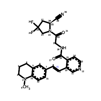 CN1CCCc2cc(/C=C/c3cnccc3C(=O)NCC(=O)N3CC(F)(F)C[C@H]3C#N)ccc21